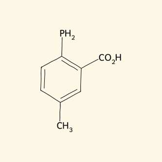 Cc1ccc(P)c(C(=O)O)c1